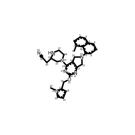 Cc1cccc2cccc(N3Cc4nc(OCc5cccn5C)nc(N5CCNC(CC#N)C5)c4C3)c12